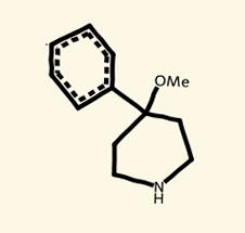 COC1(c2cc[c]cc2)CCNCC1